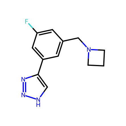 Fc1cc(CN2CCC2)cc(-c2c[nH]nn2)c1